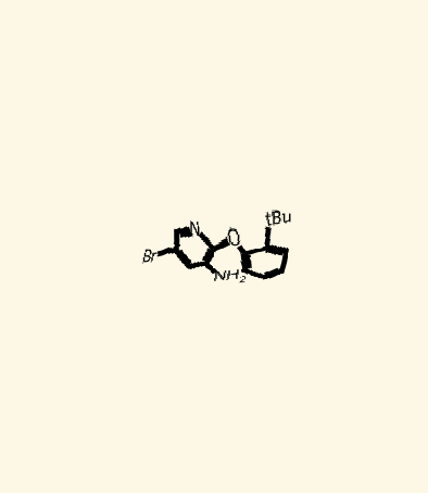 CC(C)(C)c1ccccc1Oc1ncc(Br)cc1N